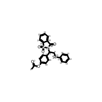 CC(=O)Oc1ccc(C(C[Se]c2ccccc2)N2C(=O)c3ccccc3S2(=O)=O)cc1